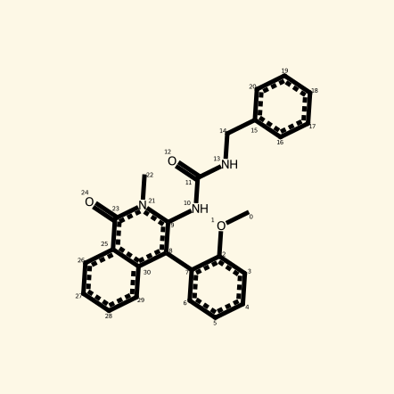 COc1ccccc1-c1c(NC(=O)NCc2ccccc2)n(C)c(=O)c2ccccc12